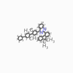 Cc1cc(-c2ccccc2)ccc1-c1ccc(-c2nc(-c3cccc4c3-c3ccccc3C4(C)C)nc3ccccc23)cc1C